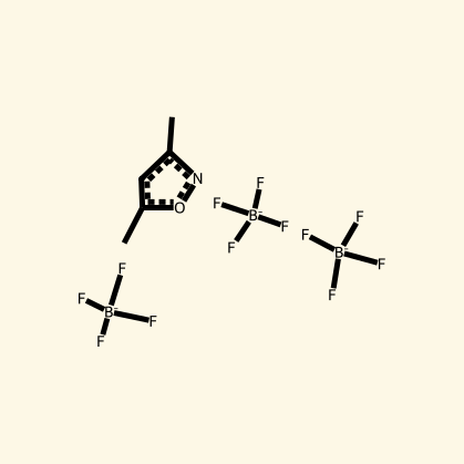 Cc1cc(C)on1.F[B-](F)(F)F.F[B-](F)(F)F.F[B-](F)(F)F